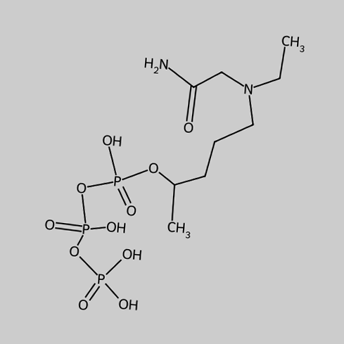 CCN(CCCC(C)OP(=O)(O)OP(=O)(O)OP(=O)(O)O)CC(N)=O